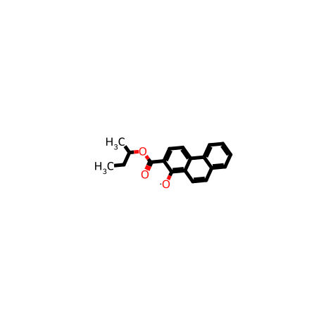 CCC(C)OC(=O)c1ccc2c(ccc3ccccc32)c1[O]